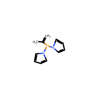 C=C(C)P(n1cccc1)n1cccc1